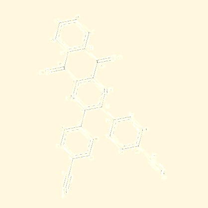 N#Cc1ccc(-c2nc3c(nc2-c2ccc(C#N)cc2)C(=O)c2ccccc2C3=O)cc1